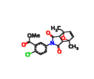 COC(=O)c1cc(N2C(=O)C3C(C2=O)C2(C)C=CC3(C)O2)ccc1Cl